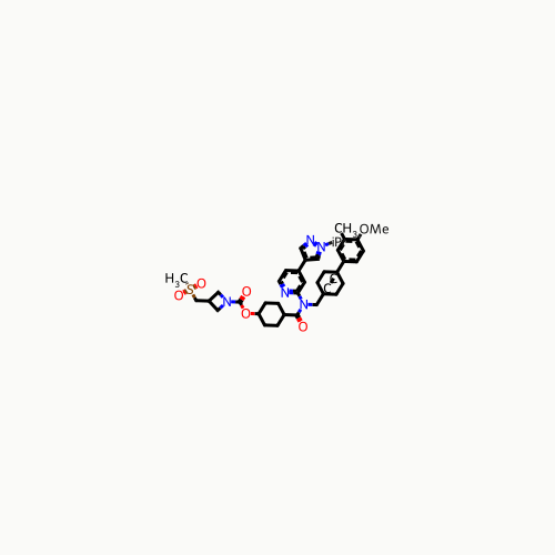 COc1ccc(C23CCC(CN(C(=O)C4CCC(OC(=O)N5CC(CS(C)(=O)=O)C5)CC4)c4cc(-c5cnn(C(C)C)c5)ccn4)(CC2)CC3)cc1C